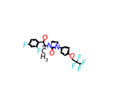 C[C@H](C(=O)c1ccc(F)cc1F)n1ccn(-c2ccc(OCC(F)(F)C(F)F)cc2)c1=O